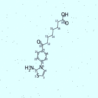 NC1SC=CN1c1ccc(C(=O)CCCCCCC(=O)O)cc1